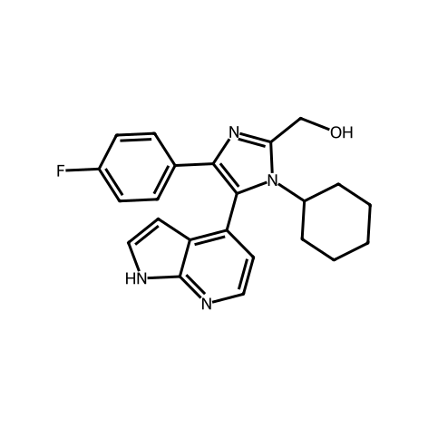 OCc1nc(-c2ccc(F)cc2)c(-c2ccnc3[nH]ccc23)n1C1CCCCC1